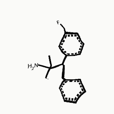 [CH2]C(C)(N)C(c1ccccc1)c1cccc(F)c1